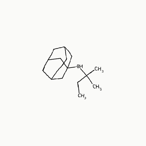 CCC(C)(C)BC12CC3CC(CC(C3)C1)C2